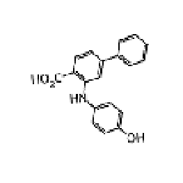 O=C(O)c1ccc(-c2ccccc2)cc1Nc1ccc(O)cc1